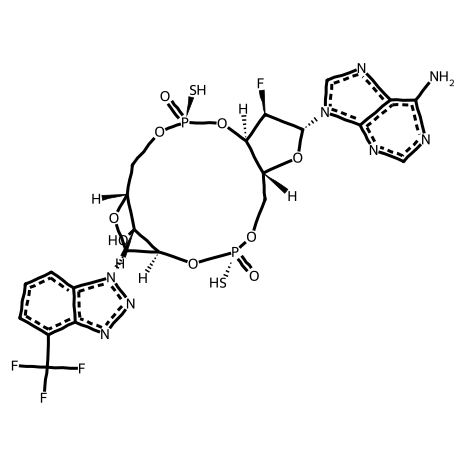 Nc1ncnc2c1ncn2[C@@H]1O[C@@H]2CO[P@](=O)(S)O[C@@H]3[C@H](O)[C@@H](CO[P@@](=O)(S)O[C@H]2[C@H]1F)O[C@H]3n1nnc2c(C(F)(F)F)cccc21